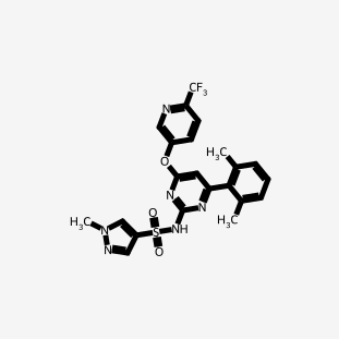 Cc1cccc(C)c1-c1cc(Oc2ccc(C(F)(F)F)nc2)nc(NS(=O)(=O)c2cnn(C)c2)n1